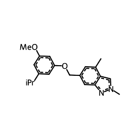 COc1cc(OCc2cc(C)c3cn(C)nc3c2)cc(C(C)C)c1